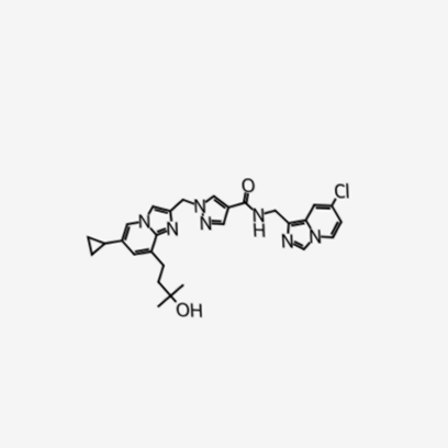 CC(C)(O)CCc1cc(C2CC2)cn2cc(Cn3cc(C(=O)NCc4ncn5ccc(Cl)cc45)cn3)nc12